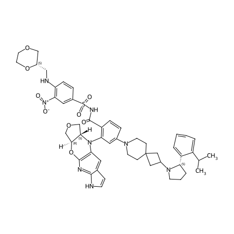 CC(C)c1ccccc1[C@@H]1CCCN1C1CC2(CCN(c3ccc(C(=O)NS(=O)(=O)c4ccc(NC[C@H]5COCCO5)c([N+](=O)[O-])c4)c(N4c5cc6cc[nH]c6nc5O[C@H]5COC[C@@H]54)c3)CC2)C1